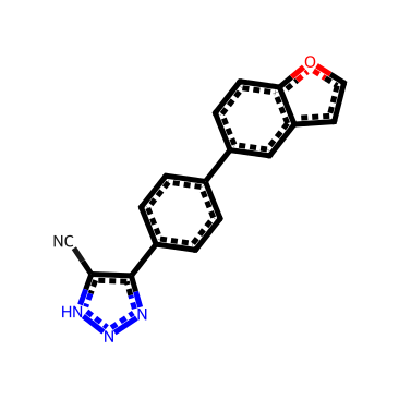 N#Cc1[nH]nnc1-c1ccc(-c2ccc3occc3c2)cc1